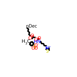 CCCCCCCCCCCCCCCC1OCC(COC(=O)NCCCCC[n+]2ccsc2)O1.Cc1ccc(S(=O)(=O)[O-])cc1